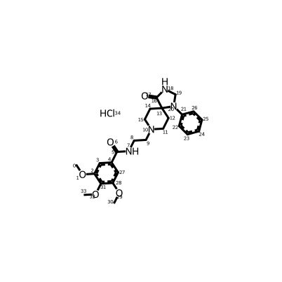 COc1cc(C(=O)NCCN2CCC3(CC2)C(=O)NCN3c2ccccc2)cc(OC)c1OC.Cl